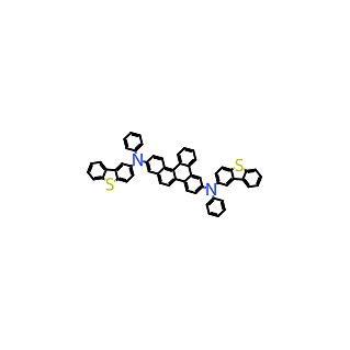 c1ccc(N(c2ccc3c(ccc4c5ccc(N(c6ccccc6)c6ccc7sc8ccccc8c7c6)cc5c5ccccc5c34)c2)c2ccc3sc4ccccc4c3c2)cc1